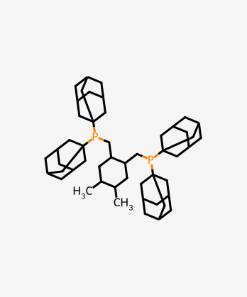 CC1CC(CP(C23CC4CC(CC(C4)C2)C3)C23CC4CC(CC(C4)C2)C3)C(CP(C23CC4CC(CC(C4)C2)C3)C23CC4CC(CC(C4)C2)C3)CC1C